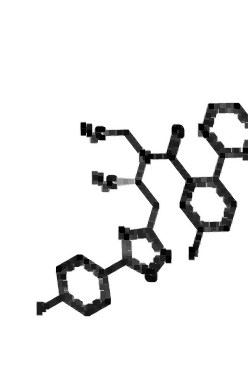 CCN(C(=O)c1cc(F)ccc1-c1ncccn1)[C@@H](C)Cc1noc(-c2ccc(F)cc2)n1